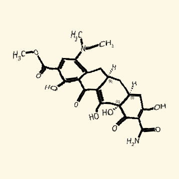 COC(=O)c1cc(N(C)C)c2c(c1O)C(=O)C1=C(O)[C@]3(O)C(=O)C(C(N)=O)=C(O)C[C@@H]3C[C@@H]1C2